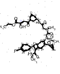 CCOC(=O)/C(O)=C/C(=O)c1cccc(CNC(=O)CN(C)C(=O)CN(c2cc3oc(-c4ccc(F)cc4)c(C(=O)NC)c3cc2C2CC2)S(C)(=O)=O)c1